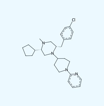 CN1C[C@H](Cc2ccc(Cl)cc2)N(C2CCN(c3ccccn3)CC2)C[C@@H]1C1CCCC1